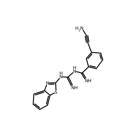 N=C(NC(=N)c1cccc(C#CN)c1)Nc1nc2ccccc2s1